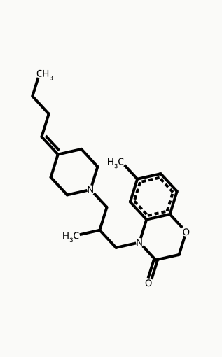 CCCC=C1CCN(CC(C)CN2C(=O)COc3ccc(C)cc32)CC1